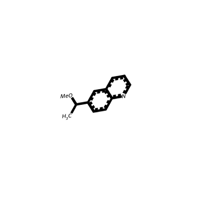 COC(C)c1ccc2ncccc2c1